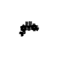 CC(C)Oc1cccc(NC(=O)Nc2ccc(F)cc2)c1